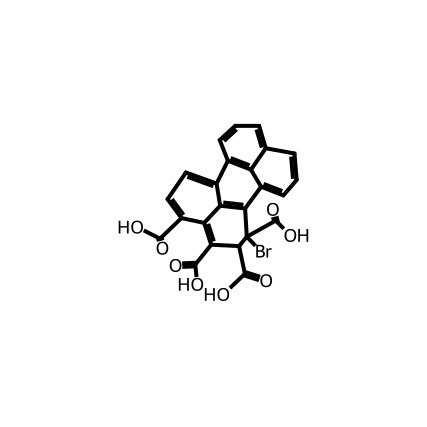 O=C(O)C1=c2c(C(=O)O)ccc3c2c(c2cccc4cccc3c42)C(Br)(C(=O)O)C1C(=O)O